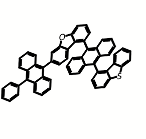 c1ccc(-c2c3ccccc3c(-c3ccc4c(c3)oc3cccc(-c5c6ccccc6c(-c6cccc7sc8ccccc8c67)c6ccccc56)c34)c3ccccc23)cc1